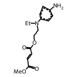 CCN(CCOC(=O)/C=C/C(=O)OC)c1ccc(N)cc1